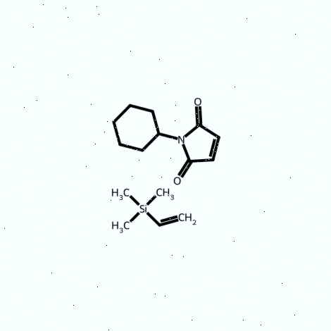 C=C[Si](C)(C)C.O=C1C=CC(=O)N1C1CCCCC1